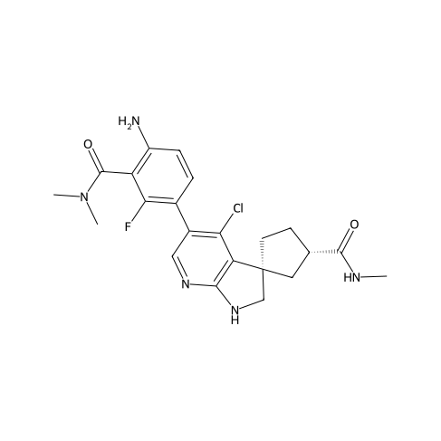 CNC(=O)[C@H]1CC[C@@]2(CNc3ncc(-c4ccc(N)c(C(=O)N(C)C)c4F)c(Cl)c32)C1